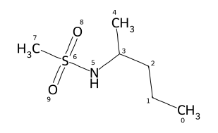 CCCC(C)NS(C)(=O)=O